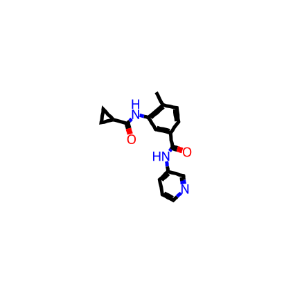 Cc1ccc(C(=O)Nc2cccnc2)cc1NC(=O)C1CC1